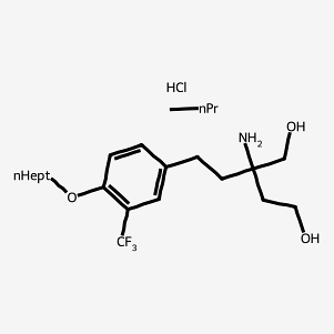 CCCC.CCCCCCCOc1ccc(CCC(N)(CO)CCO)cc1C(F)(F)F.Cl